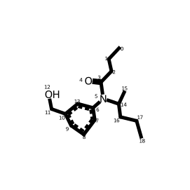 CCCC(=O)N(c1cccc(CO)c1)C(C)CCC